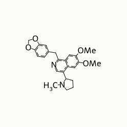 COc1cc2c(C3CCCN3C)cnc(Cc3ccc4c(c3)OCO4)c2cc1OC